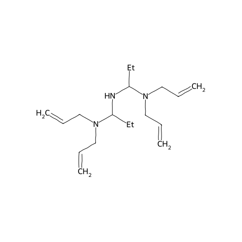 C=CCN(CC=C)C(CC)NC(CC)N(CC=C)CC=C